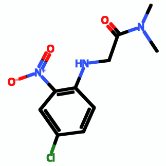 CN(C)C(=O)CNc1ccc(Cl)cc1[N+](=O)[O-]